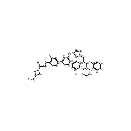 CCOC1CN(C(=O)NCc2ccc(-c3ccnc(Nc4cnn(CCCN5[C@@H](c6ncccc6C)CCC[C@H]5c5ncccc5C)c4)n3)cc2C)C1